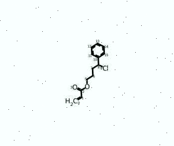 C=CC(=O)OCCCC(Cl)c1ccccc1